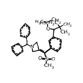 C[SiH](C)OC(c1cccc(C(=C2CN(C(c3ccccc3)c3ccccc3)C2)S(C)(=O)=O)c1)C(C)(C)C